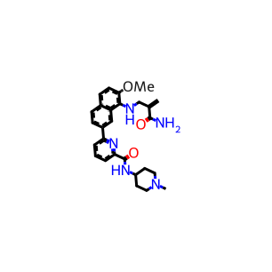 C=C(CNc1c(OC)ccc2ccc(-c3cccc(C(=O)NC4CCN(C)CC4)n3)cc12)C(N)=O